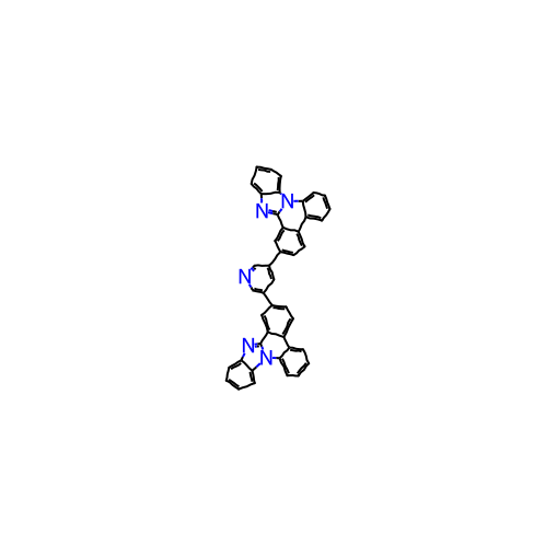 c1ccc2c(c1)nc1c3cc(-c4cncc(-c5ccc6c7ccccc7n7c8ccccc8nc7c6c5)c4)ccc3c3ccccc3n21